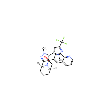 Cn1nc(C(F)(F)F)cc1-c1c2c(nn1C)[C@@H]1CCC[C@H](C2)N1C(=O)c1ccc2ncccc2c1